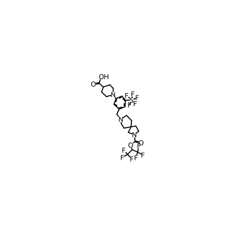 O=C(O)C1CCN(c2cc(CN3CCC4(CC3)CCN(C(=O)OC(C(F)(F)F)C(F)(F)F)C4)cc(S(F)(F)(F)(F)F)c2)CC1